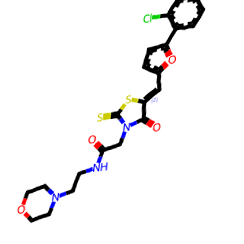 O=C(CN1C(=O)/C(=C/c2ccc(-c3ccccc3Cl)o2)SC1=S)NCCN1CCOCC1